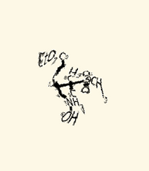 CCOC(=O)CSC(C=NO)C(C)(C)S(C)(=O)=O